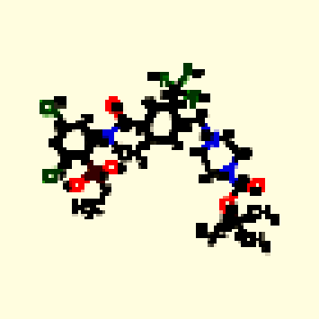 CCS(=O)(=O)c1c(Cl)cc(Cl)cc1N(C)C(=O)c1ccc(CN2CCN(C(=O)OC(C)(C)C)CC2)c(C(F)(F)F)c1